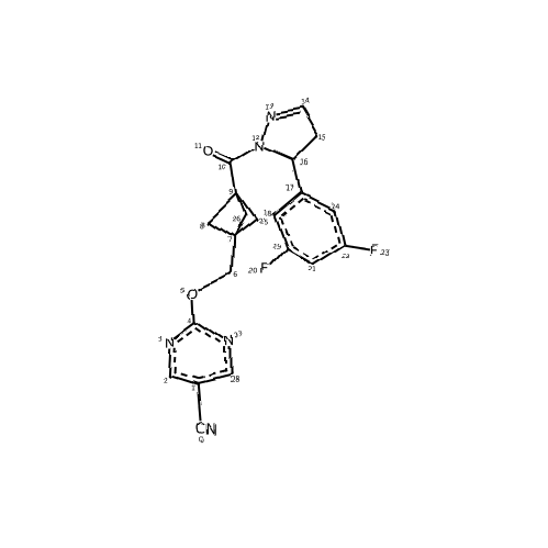 N#Cc1cnc(OCC23CC(C(=O)N4N=CCC4c4cc(F)cc(F)c4)(C2)C3)nc1